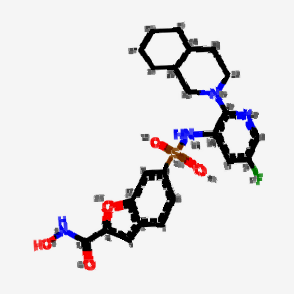 O=C(NO)c1cc2ccc(S(=O)(=O)Nc3cc(F)cnc3N3CCC4CCCCC4C3)cc2o1